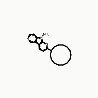 Nn1c2ccncc2c2ccc(C3CCCCCCCCCCCCC3)nc21